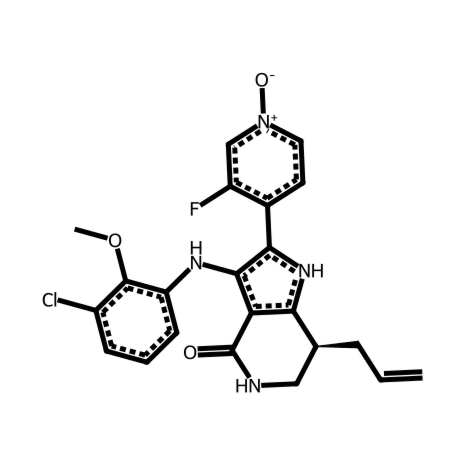 C=CC[C@H]1CNC(=O)c2c1[nH]c(-c1cc[n+]([O-])cc1F)c2Nc1cccc(Cl)c1OC